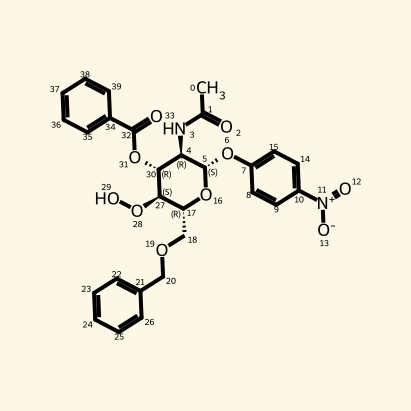 CC(=O)N[C@H]1[C@H](Oc2ccc([N+](=O)[O-])cc2)O[C@H](COCc2ccccc2)[C@@H](OO)[C@@H]1OC(=O)c1ccccc1